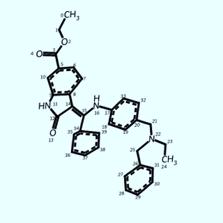 CCOC(=O)c1ccc2c(c1)NC(=O)C2=C(Nc1ccc(CN(CC)Cc2ccccc2)cc1)c1ccccc1